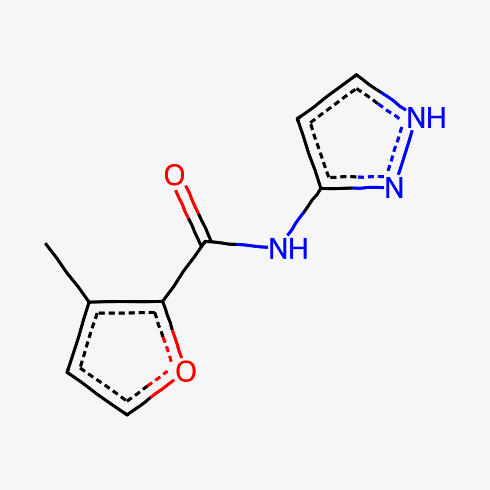 Cc1ccoc1C(=O)Nc1cc[nH]n1